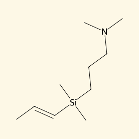 CC=C[Si](C)(C)CCCN(C)C